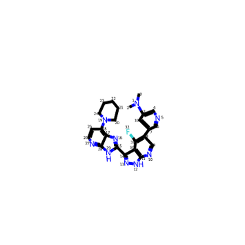 CN(C)c1cncc(-c2cnc3[nH]nc(-c4nc5c(N6CCCCC6)ccnc5[nH]4)c3c2F)c1